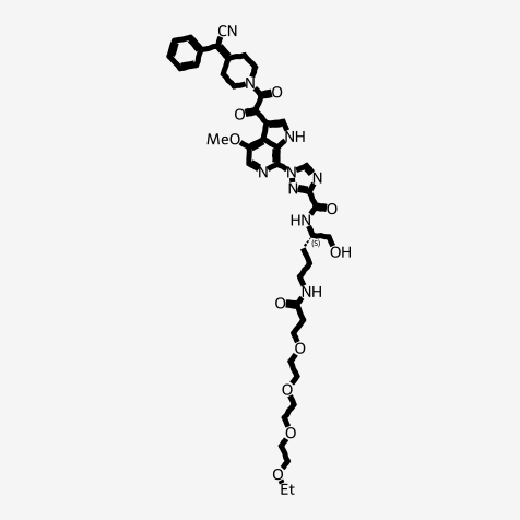 CCOCCOCCOCCOCCC(=O)NCCC[C@@H](CO)NC(=O)c1ncn(-c2ncc(OC)c3c(C(=O)C(=O)N4CCC(=C(C#N)c5ccccc5)CC4)c[nH]c23)n1